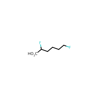 O=C(O)C(F)CCCCF